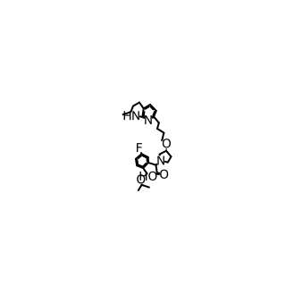 CC1CCc2ccc(CCCCO[C@@H]3CCN(C(C(=O)O)c4cc(F)ccc4COC(C)C)C3)nc2N1